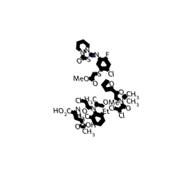 CC1(C)OC(c2ccco2)CN1C(=O)C(Cl)Cl.CCc1cccc(C)c1N(C(=O)CCl)C(C)COC.COC(=O)CSc1cc(/N=c2\sc(=O)n3n2CCCC3)c(F)cc1Cl.CP(=O)(O)CCC(N)C(=O)O